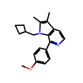 COc1ccc(-c2nccc3c(C)c(C)n(CC4CCC4)c23)cc1